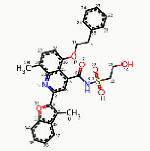 Cc1c(-c2cc(C(=O)NS(=O)(=O)CCO)c3c(OCCc4ccccc4)ccc(C)c3n2)oc2ccccc12